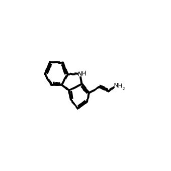 NC=Cc1cccc2c1[nH]c1ccccc12